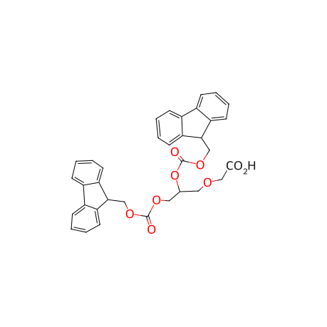 O=C(O)COCC(COC(=O)OCC1c2ccccc2-c2ccccc21)OC(=O)OCC1c2ccccc2-c2ccccc21